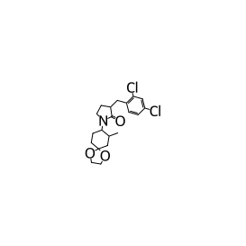 CC1CC2(CCC1N1CCC(Cc3ccc(Cl)cc3Cl)C1=O)OCCO2